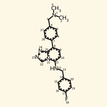 CN(C)Cc1ccc(-c2ccc(NCc3ccc(F)cc3)n3cnnc23)cc1